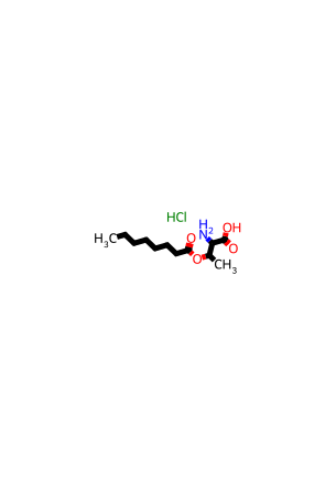 CCCCCCCC(=O)OC(C)C(N)C(=O)O.Cl